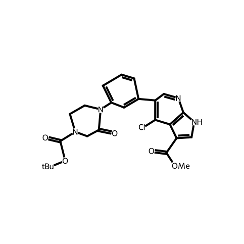 COC(=O)c1c[nH]c2ncc(-c3cccc(N4CCN(C(=O)OC(C)(C)C)CC4=O)c3)c(Cl)c12